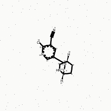 N#Cc1cc(N2C[C@@H]3CC[C@H]2CN3)cnc1Cl